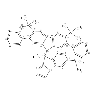 [CH2]=[Zr]([C]1=CC=CC1)([c]1ccc(C(C)C)cc1)[CH]1c2cc(-c3ccccc3)c(C(C)(C)C)cc2-c2cc(C(C)(C)C)c(-c3ccccc3)cc21